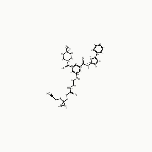 C#CCCC1(CCC(=O)NCCOc2cc(C(=O)Nc3nc(-c4ccccn4)cs3)cc(C(=O)N3CCN(C)CC3)c2)N=N1